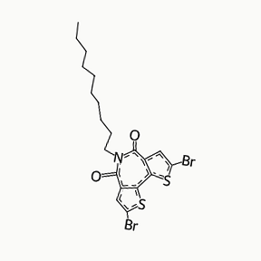 CCCCCCCCCCn1c(=O)c2cc(Br)sc2c2sc(Br)cc2c1=O